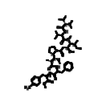 CC[C@H](C)C([C@@H](CC(=O)N1CCC[C@H]1[C@H](OC)[C@@H](C)C(=O)NC(Cc1ccccc1)C(=O)NC(Cc1ccc(N)cc1)C(=O)OC)OC)N(C)C(=O)C(NC(=O)[C@H](C(C)C)N(C)C)C(C)C